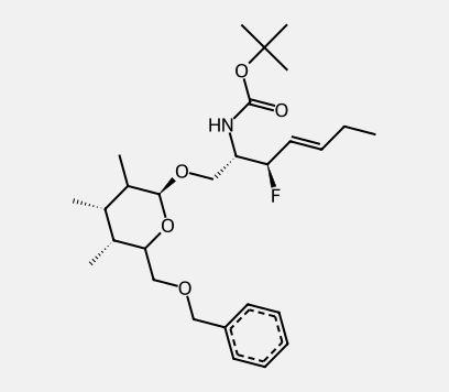 CC/C=C/[C@@H](F)[C@H](CO[C@H]1OC(COCc2ccccc2)[C@H](C)[C@H](C)C1C)NC(=O)OC(C)(C)C